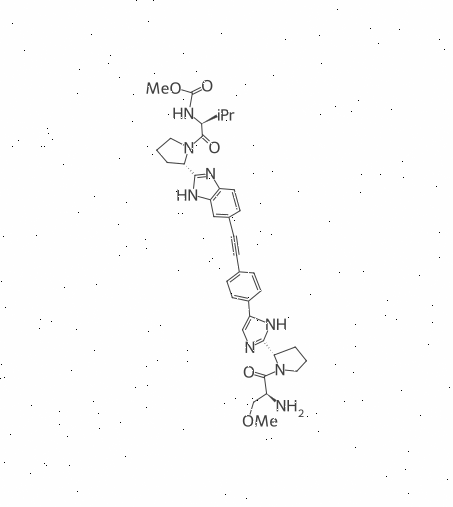 COC[C@H](N)C(=O)N1CCC[C@H]1c1ncc(-c2ccc(C#Cc3ccc4nc([C@@H]5CCCN5C(=O)[C@@H](NC(=O)OC)C(C)C)[nH]c4c3)cc2)[nH]1